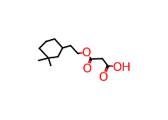 CC1(C)CCCC(CCOC(=O)CC(=O)O)C1